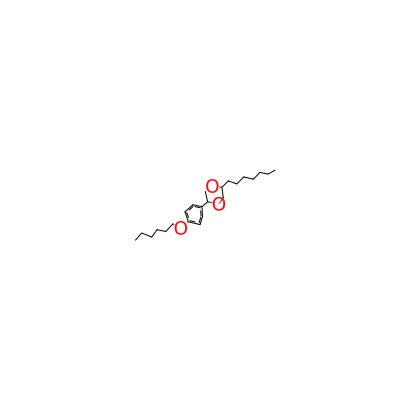 CCCCCCCC1COC(c2ccc(OCCCCCC)cc2)CO1